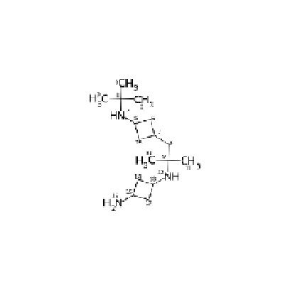 CC(C)(C)NC1CC(CC(C)(C)NC2CC(N)C2)C1